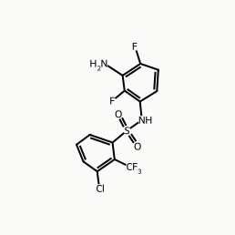 Nc1c(F)ccc(NS(=O)(=O)c2cccc(Cl)c2C(F)(F)F)c1F